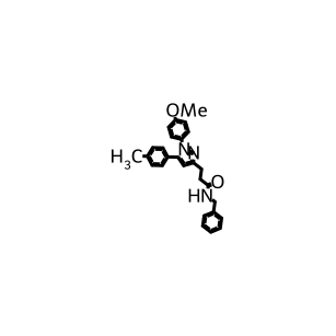 COc1ccc(-n2nc(CCC(=O)NCc3ccccc3)cc2-c2ccc(C)cc2)cc1